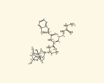 COc1ccccc1/C=C/C(=O)N[C@@H](CCCNC(=N)N[N+](=O)[O-])C(=O)N[C@@H](CC(C)C)B1O[C@@H]2C[C@@H]3C[C@@H](C3(C)C)[C@]2(C)O1